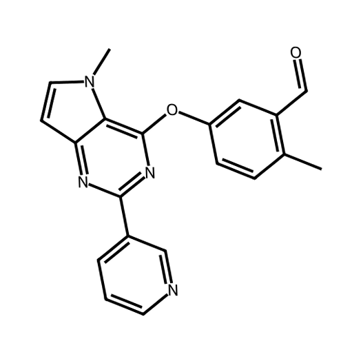 Cc1ccc(Oc2nc(-c3cccnc3)nc3ccn(C)c23)cc1C=O